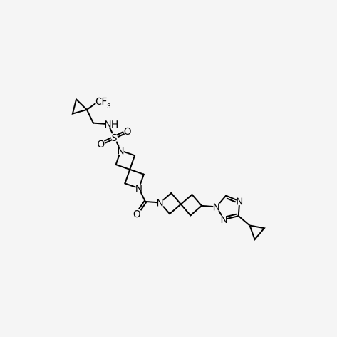 O=C(N1CC2(CC(n3cnc(C4CC4)n3)C2)C1)N1CC2(C1)CN(S(=O)(=O)NCC1(C(F)(F)F)CC1)C2